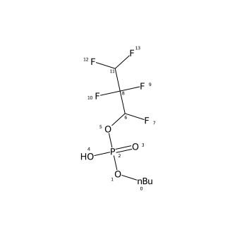 CCCCOP(=O)(O)OC(F)C(F)(F)C(F)F